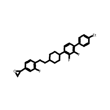 CCc1ccc(-c2ccc(C3CCC(CCc4ccc(C5CO5)cc4F)CC3)c(F)c2F)cc1